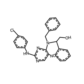 O=[N+]([O-])c1cnc(Nc2ccc(Cl)cc2)nc1N(Cc1ccccc1)C(CO)c1ccccc1